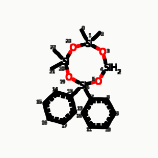 C[Si]1(C)O[SiH2]O[Si](c2ccccc2)(c2ccccc2)O[Si](C)(C)O1